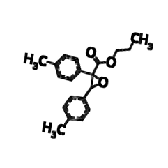 CCCOC(=O)C1(c2ccc(C)cc2)OC1c1ccc(C)cc1